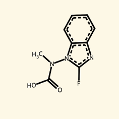 CN(C(=O)O)n1c(F)nc2ccccc21